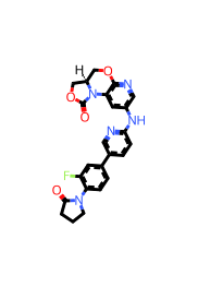 O=C1CCCN1c1ccc(-c2ccc(Nc3cnc4c(c3)N3C(=O)OC[C@H]3CO4)nc2)cc1F